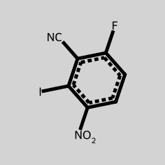 N#Cc1c(F)ccc([N+](=O)[O-])c1I